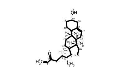 C=CC(=O)CC[C@@H](C)[C@H]1CC[C@H]2[C@@H]3CC=C4C[C@@H](O)CC[C@]4(C)[C@H]3CC[C@]12C